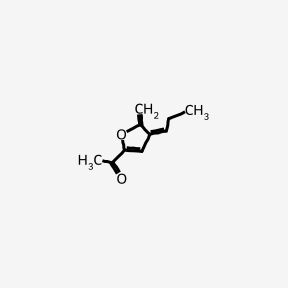 C=c1oc(C(C)=O)c/c1=C/CC